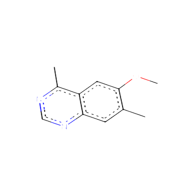 COc1cc2c(C)ncnc2cc1C